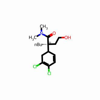 CCCC[C@@](CCO)(C(=O)N(C)C)C1C=CC(Cl)=C(Cl)C1